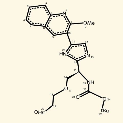 COc1nc2ccccc2cc1-c1cnc([C@H](COCCC=O)NC(=O)OC(C)(C)C)[nH]1